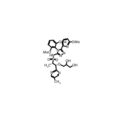 COc1cccc(-c2nnc(NS(=O)(=O)[C@@H](C)[C@H](OCC(O)CO)c3ncc(C)cn3)n2-c2c(OC)cccc2OC)n1